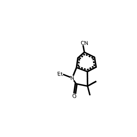 CCN1C(=O)C(C)(C)c2ccc(C#N)cc21